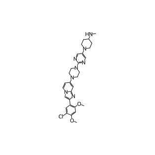 CNC1CCN(c2cnc(N3CCN(c4ccn5cc(-c6cc(Cl)c(OC)cc6OC)nc5c4)CC3)nc2)CC1